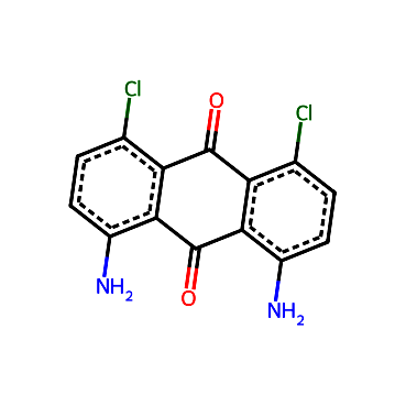 Nc1ccc(Cl)c2c1C(=O)c1c(N)ccc(Cl)c1C2=O